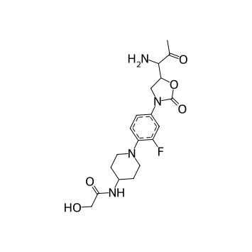 CC(=O)C(N)C1CN(c2ccc(N3CCC(NC(=O)CO)CC3)c(F)c2)C(=O)O1